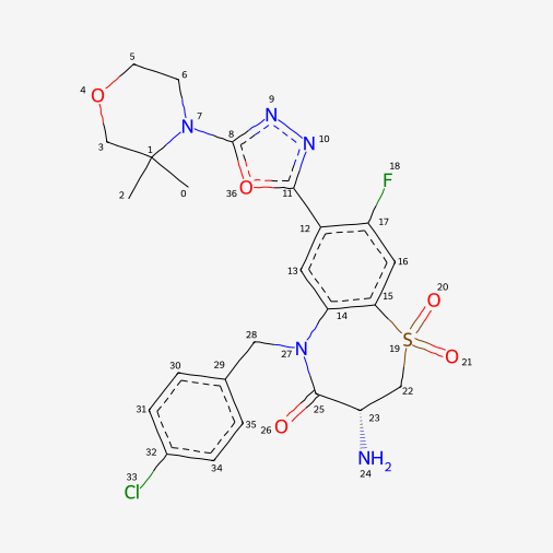 CC1(C)COCCN1c1nnc(-c2cc3c(cc2F)S(=O)(=O)C[C@H](N)C(=O)N3Cc2ccc(Cl)cc2)o1